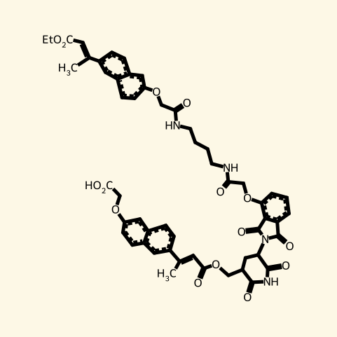 CCOC(=O)/C=C(\C)c1ccc2cc(OCC(=O)NCCCCNC(=O)COc3cccc4c3C(=O)N(C3CC(COC(=O)/C=C(\C)c5ccc6cc(OCC(=O)O)ccc6c5)C(=O)NC3=O)C4=O)ccc2c1